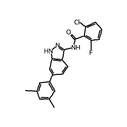 Cc1cc(C)cc(-c2ccc3c(NC(=O)c4c(F)cccc4Cl)n[nH]c3c2)c1